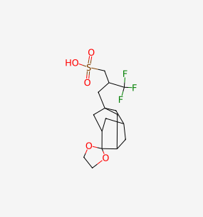 O=S(=O)(O)CC(CC12CC3CC(C1)C1(OCCO1)C(C3)C2)C(F)(F)F